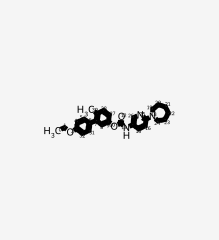 CCOc1ccc(-c2cc(OC(=O)Nc3ccc(N4CCCCCC4)nc3)ccc2C)cc1